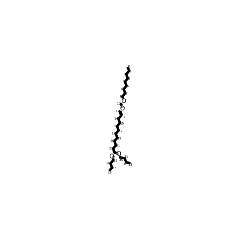 CCCCCCCCCOCOC=CCCCCCCCCCC(OCCCC)OCCCC